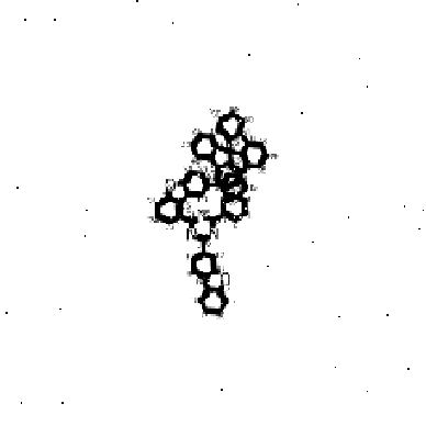 c1ccc(-c2nc(-c3ccc4c(c3)oc3ccccc34)nc(-c3cccc4oc5ccc(-c6cccc(-c7cccc8c7C7(c9ccccc9-c9ccccc97)c7ccccc7-8)c6)cc5c34)n2)cc1